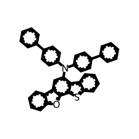 c1ccc(-c2ccc(N(c3ccc(-c4ccccc4)cc3)c3cc4c5ccccc5oc4c4sc5ccccc5c34)cc2)cc1